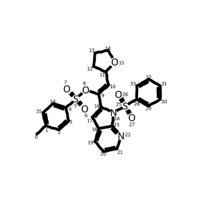 Cc1ccc(S(=O)(=O)OC(=CC2CCCO2)c2cc3cccnc3n2S(=O)(=O)c2ccccc2)cc1